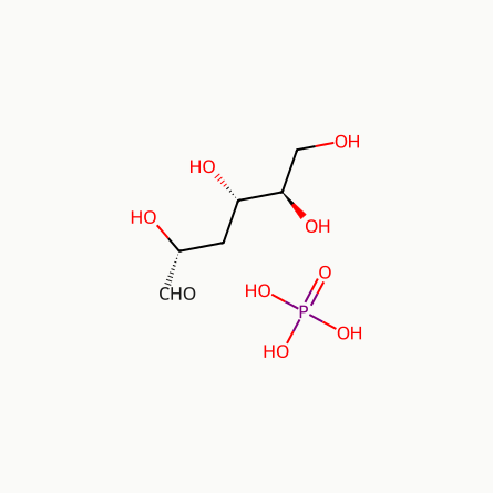 O=C[C@H](O)C[C@H](O)[C@H](O)CO.O=P(O)(O)O